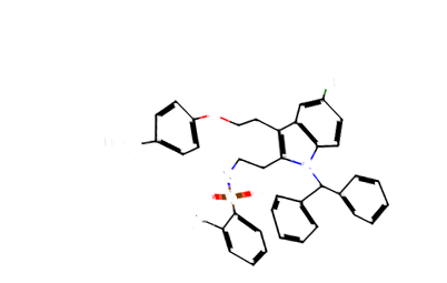 O=C(O)c1ccc(OCCc2c(CCNS(=O)(=O)c3ccccc3[N+](=O)[O-])n(C(c3ccccc3)c3ccccc3)c3ccc(Cl)cc23)cc1